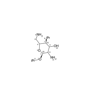 CC(C)O[C@H]1OC(CN)[C@@H](C(C)C)C(O)C1N